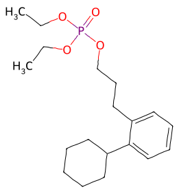 CCOP(=O)(OCC)OCCCc1ccccc1C1CCCCC1